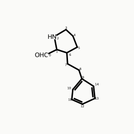 O=CC1NCCCC1CCc1ccccc1